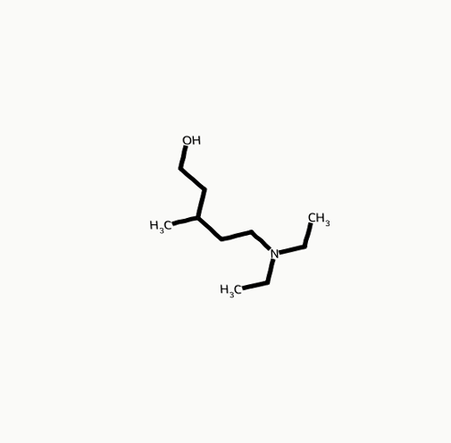 CCN(CC)CCC(C)CCO